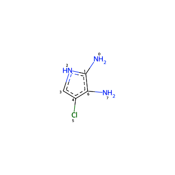 Nc1[nH]cc(Cl)c1N